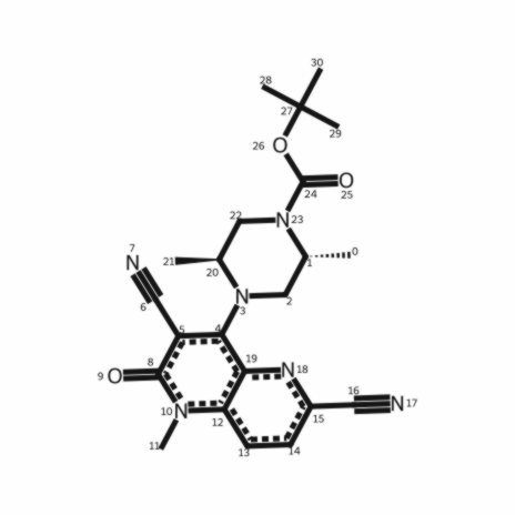 C[C@@H]1CN(c2c(C#N)c(=O)n(C)c3ccc(C#N)nc23)[C@@H](C)CN1C(=O)OC(C)(C)C